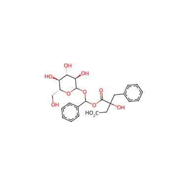 O=C(O)CC(O)(Cc1ccccc1)C(=O)OC(OC1O[C@H](CO)[C@@H](O)[C@H](O)[C@H]1O)c1ccccc1